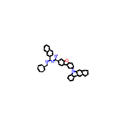 C=N/C(=N\C(=N/CC1=CCC=CC=C1)c1ccc2ccccc2c1)c1ccc2c(c1)oc1ccc(-n3c4ccccc4c4cc5ccccc5cc43)cc12